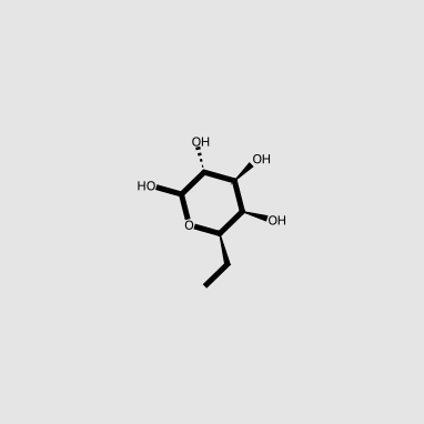 CC[C@H]1OC(O)[C@H](O)[C@@H](O)[C@H]1O